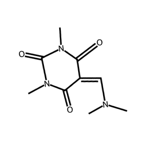 CN(C)C=C1C(=O)N(C)C(=O)N(C)C1=O